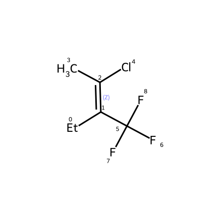 CC/C(=C(\C)Cl)C(F)(F)F